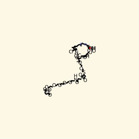 C/C1=C\C=C\[C@@H](C)[C@@]2(O)CC(OC(=O)N2)[C@@H](C)[C@@H]2O[C@@]2(C)[C@@H](CC(=O)[C@H](C)OCCOCCSC2CC(=O)N(CCC(=O)NCCOCCOCCOCCOCCC(=O)ON3C(=O)CCC3=O)C2=O)CC(=O)N(C)c2cc(cc(C)c2Cl)C1